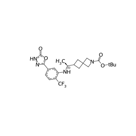 C[C@H](Nc1cc(-c2n[nH]c(=O)o2)ccc1C(F)(F)F)C1CC2(C1)CN(C(=O)OC(C)(C)C)C2